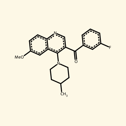 COc1ccc2ncc(C(=O)c3cccc(F)c3)c(N3CCC(C)CC3)c2c1